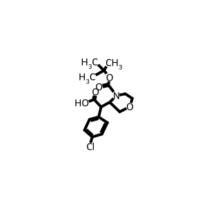 CC(C)(C)OC(=O)N1CCOCC1C(C(=O)O)c1ccc(Cl)cc1